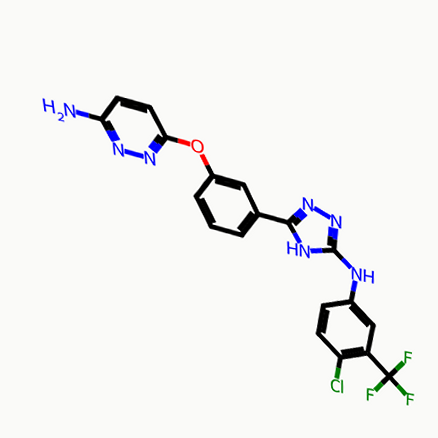 Nc1ccc(Oc2cccc(-c3nnc(Nc4ccc(Cl)c(C(F)(F)F)c4)[nH]3)c2)nn1